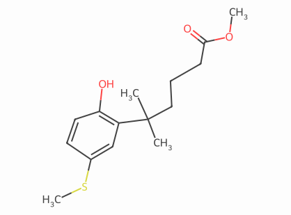 COC(=O)CCCC(C)(C)c1cc(SC)ccc1O